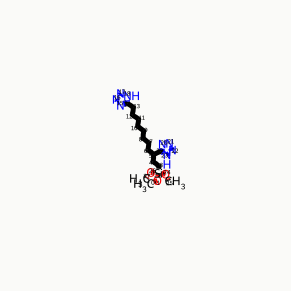 CO[Si](CCC(CCCCCCCCc1nnn[nH]1)c1nnn[nH]1)(OC)OC